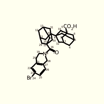 O=C(O)C12CC3CC(C1)CC(C14CC5CC(CC(C(=O)N6CCc7cc(Br)ccc7C6)(C5)C1)C4)(C3)C2